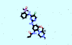 C=CC(=O)Nc1cc(Nc2ncc(Cl)c(Nc3ccccc3P(C)(C)=O)n2)cc2c1N1CCN(C)C[C@H]1CO2